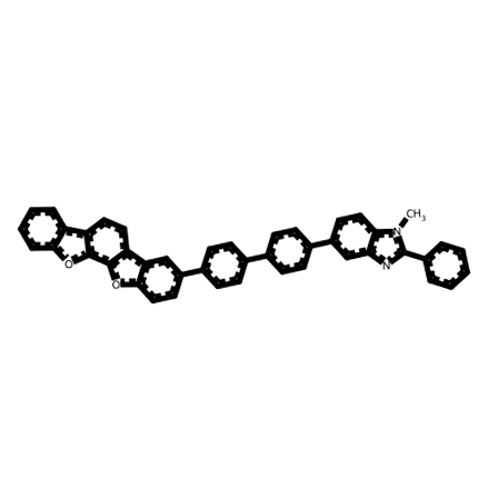 Cn1c(-c2ccccc2)nc2cc(-c3ccc(-c4ccc(-c5ccc6oc7c(ccc8c9ccccc9oc87)c6c5)cc4)cc3)ccc21